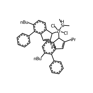 CCCCc1ccc2c(c1-c1ccccc1)C=C(C(C)C)[CH]2[Zr]([Cl])([Cl])([CH]1C(C(C)C)=Cc2c1ccc(CCCC)c2-c1ccccc1)[SiH](C)C